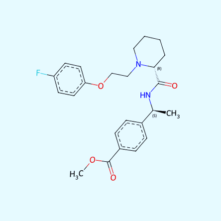 COC(=O)c1ccc([C@H](C)NC(=O)[C@H]2CCCCN2CCOc2ccc(F)cc2)cc1